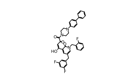 O=C(/C=C(/O)c1cc(Cc2cc(F)cc(F)c2)cn(Cc2ccccc2F)c1=O)C(=O)N1CCN(c2ccc(-c3ccccc3)cc2)CC1